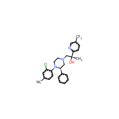 C[C@@](O)(CN1CCN(c2ccc(C#N)cc2Cl)[C@H](c2ccccc2)C1)c1ccc(C(F)(F)F)cn1